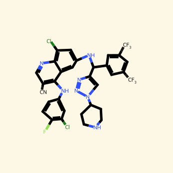 N#Cc1cnc2c(Cl)cc(NC(c3cc(C(F)(F)F)cc(C(F)(F)F)c3)c3cn(C4CCNCC4)nn3)cc2c1Nc1ccc(F)c(Cl)c1